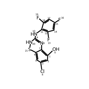 Oc1cc(Cl)cc2c1N=C(Nc1c(F)cc(F)cc1F)NS2